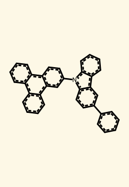 c1ccc(-c2ccc3c(c2)c2ccccc2n3-c2ccc3c4ccccc4c4ccccc4c3c2)cc1